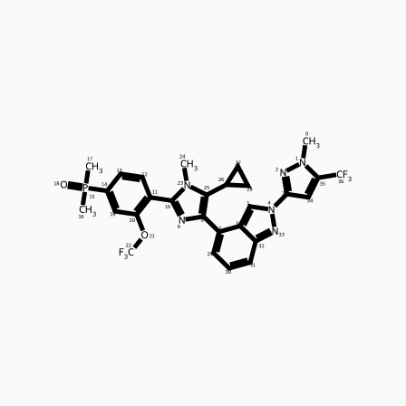 Cn1nc(-n2cc3c(-c4nc(-c5ccc(P(C)(C)=O)cc5OC(F)(F)F)n(C)c4C4CC4)cccc3n2)cc1C(F)(F)F